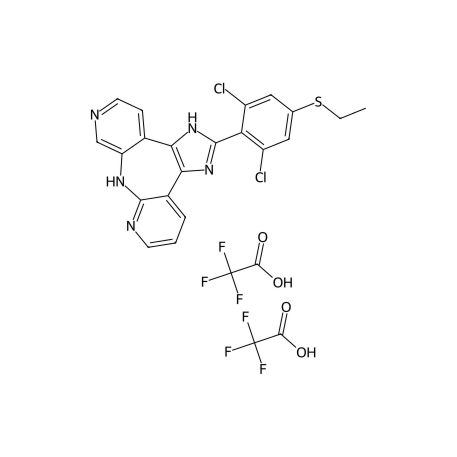 CCSc1cc(Cl)c(-c2nc3c([nH]2)-c2ccncc2Nc2ncccc2-3)c(Cl)c1.O=C(O)C(F)(F)F.O=C(O)C(F)(F)F